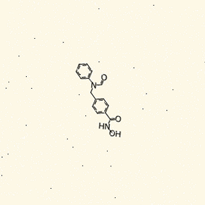 O=CN(Cc1ccc(C(=O)NO)cc1)c1ccccc1